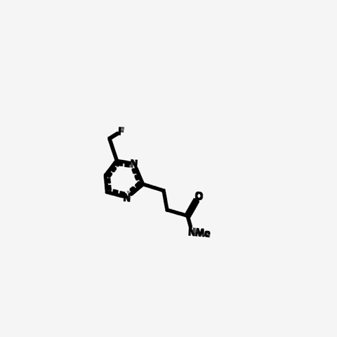 CNC(=O)CCc1nccc(CF)n1